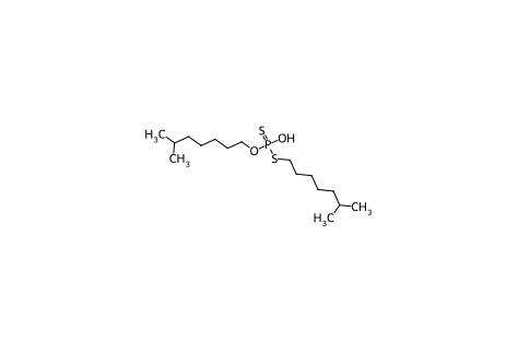 CC(C)CCCCCOP(O)(=S)SCCCCCC(C)C